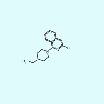 CCN1CCN(c2nc(Cl)cc3ccccc23)CC1